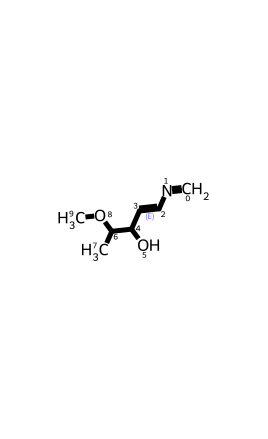 C=N/C=C/C(O)C(C)OC